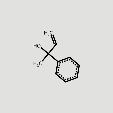 C=CC(C)(O)c1ccccc1